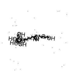 OCCOCCn1cc(CCCCCOC2O[C@H](CO)[C@@H](O)[C@H](O)[C@@H]2O)nn1